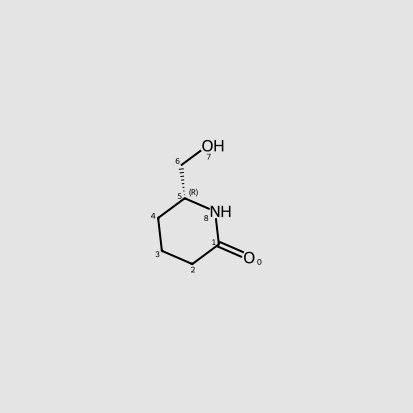 O=C1CCC[C@H](CO)N1